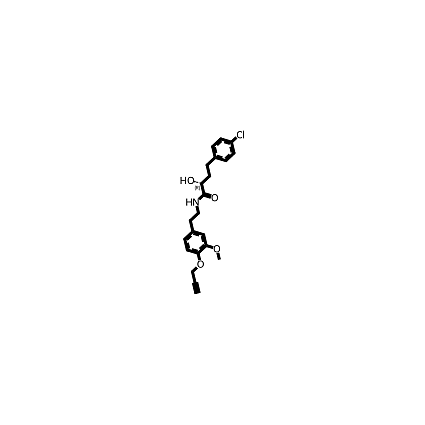 C#CCOc1ccc(CCNC(=O)[C@H](O)CCc2ccc(Cl)cc2)cc1OC